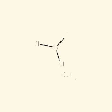 [CaH2].[Cl][In]([Cl])[Cl]